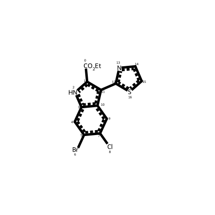 CCOC(=O)c1[nH]c2cc(Br)c(Cl)cc2c1-c1nccs1